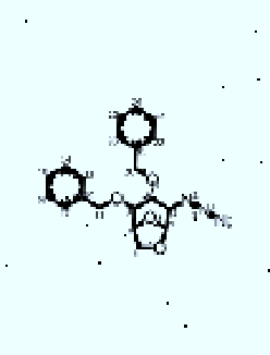 [N-]=[N+]=NC1C2OCC(O2)C(OCc2ccccc2)[C@@H]1OCc1ccccc1